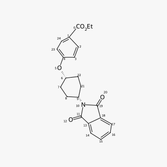 CCOC(=O)c1ccc(O[C@H]2CC[C@@H](N3C(=O)c4ccccc4C3=O)CC2)cc1